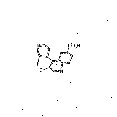 O=C(O)c1ccc2ncc(Cl)c(-c3ccncc3F)c2c1